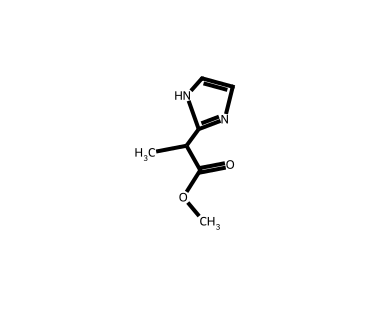 COC(=O)C(C)c1ncc[nH]1